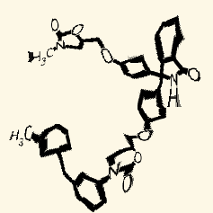 Cc1cccc(Cc2cccc(N3CC(COc4ccc(C5(c6ccc(OCC7CN(C)C(=O)O7)cc6)NC(=O)c6ccccc65)cc4)OC3=O)c2)c1